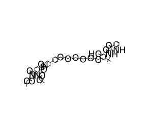 CC(C)(C)OC(=O)CN1CN(C(=O)OC(C)(C)C)c2cc(S(=O)(=O)N3CCC(c4ccc(OCCOCCOCCOCCOCCOc5cc(C(C)(C)C)c(NC(=O)c6c[nH]c7ccccc7c6=O)cc5O)cc4)CC3)ccc2C1=O